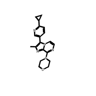 Cc1nc2c(N3CCOCC3)nccn2c1-c1ccc(C2CC2)nc1